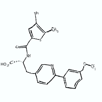 CCCc1cc(C(=O)N[C@H](Cc2ccc(-c3cccc(OC(F)(F)F)c3)nc2)C(=O)O)sc1C